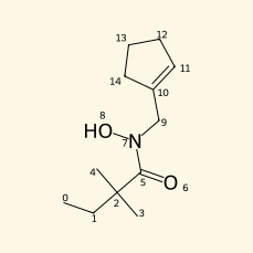 CCC(C)(C)C(=O)N(O)CC1=CCCC1